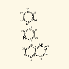 C1=CN2C=CSN=C2C(c2ccc(-c3ccccc3)cn2)=C1